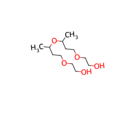 CC(CCOCCO)OC(C)CCOCCO